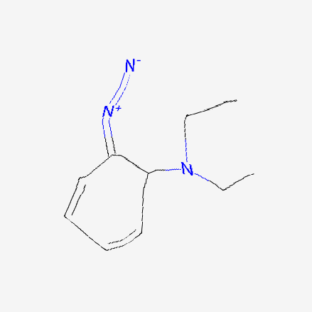 CCN(CC)C1C=CC=CC1=[N+]=[N-]